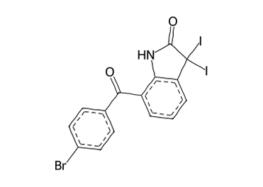 O=C(c1ccc(Br)cc1)c1cccc2c1NC(=O)C2(I)I